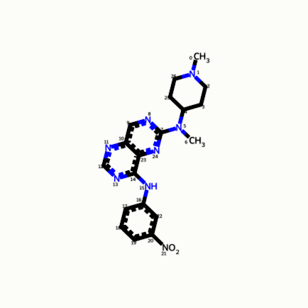 CN1CCC(N(C)c2ncc3ncnc(Nc4cccc([N+](=O)[O-])c4)c3n2)CC1